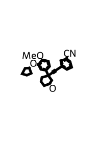 COc1ccc(C2(C#Cc3cccc(C#N)c3)CCCC(=O)C2)cc1OC1CCCC1